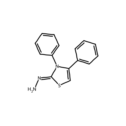 N/N=c1\scc(-c2ccccc2)n1-c1ccccc1